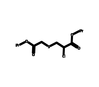 CC(C)OC(=O)CSCC(Cl)C(=O)OC(C)C